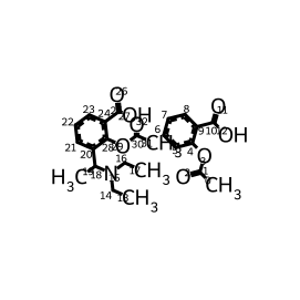 CC(=O)Oc1ccccc1C(=O)O.CCN(CC)C(C)c1cccc(C(=O)O)c1OC(C)=O